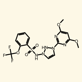 COc1cc(OC)nc(N2C=CN(NS(=O)(=O)c3ccccc3OC(F)(F)F)N2)n1